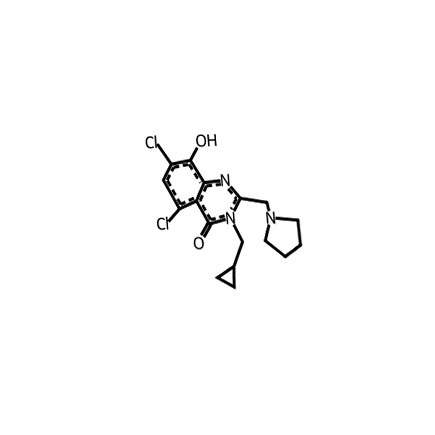 O=c1c2c(Cl)cc(Cl)c(O)c2nc(CN2CCCC2)n1CC1CC1